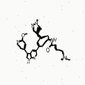 COc1cc(-c2c[nH]c3ncc(-c4cc(NC(=O)C=CCN(C)C)cc(-c5cnn(C)c5)c4)cc23)ccn1